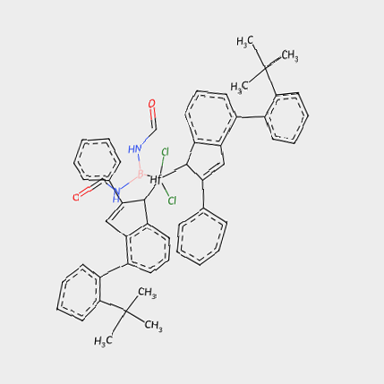 CC(C)(C)c1ccccc1-c1cccc2c1C=C(c1ccccc1)[CH]2[Hf]([Cl])([Cl])([B](NC=O)NC=O)[CH]1C(c2ccccc2)=Cc2c(-c3ccccc3C(C)(C)C)cccc21